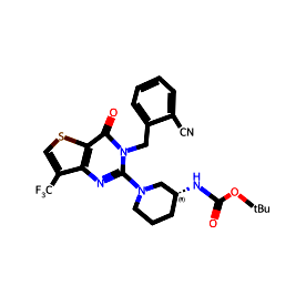 CC(C)(C)OC(=O)N[C@@H]1CCCN(c2nc3c(C(F)(F)F)csc3c(=O)n2Cc2ccccc2C#N)C1